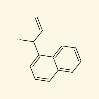 [CH2]C(C=C)c1cccc2cc[c]cc12